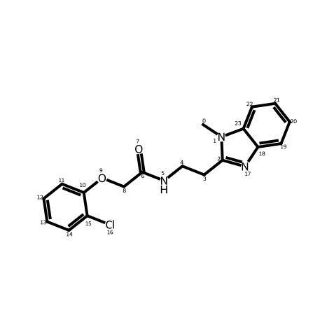 Cn1c(CCNC(=O)COc2ccccc2Cl)nc2ccccc21